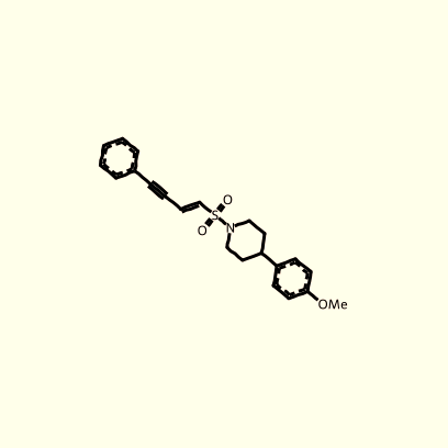 COc1ccc(C2CCN(S(=O)(=O)C=CC#Cc3ccccc3)CC2)cc1